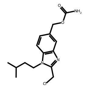 CC(C)CCn1c(CCl)nc2cc(COC(N)=O)ccc21